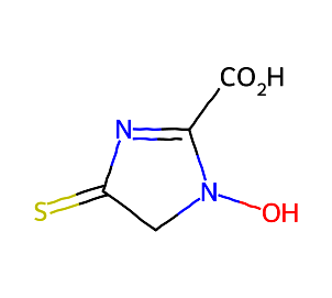 O=C(O)C1=NC(=S)CN1O